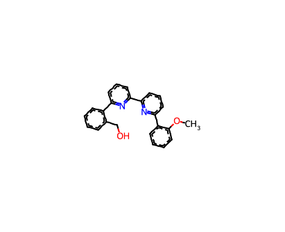 COc1ccccc1-c1cccc(-c2cccc(-c3ccccc3CO)n2)n1